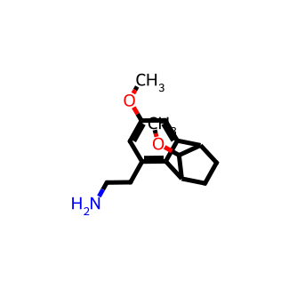 COc1cc(CCN)c2c(c1)C1CCC2C1OC